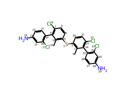 Cc1c(Sc2ccc(Cl)c(-c3ccc(N)cc3Cl)c2C)ccc(Cl)c1-c1ccc(N)cc1Cl